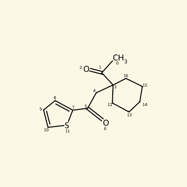 CC(=O)C1(CC(=O)c2cccs2)CCCCC1